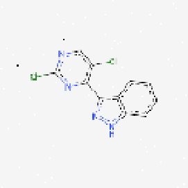 Clc1ncc(Cl)c(-c2n[nH]c3ccccc23)n1